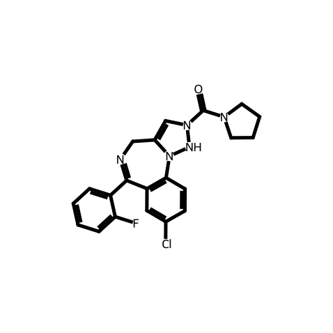 O=C(N1CCCC1)N1C=C2CN=C(c3ccccc3F)c3cc(Cl)ccc3N2N1